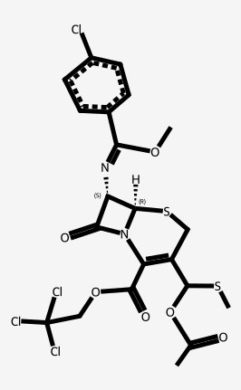 COC(=N[C@H]1C(=O)N2C(C(=O)OCC(Cl)(Cl)Cl)=C(C(OC(C)=O)SC)CS[C@H]12)c1ccc(Cl)cc1